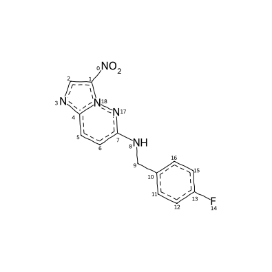 O=[N+]([O-])c1cnc2ccc(NCc3ccc(F)cc3)nn12